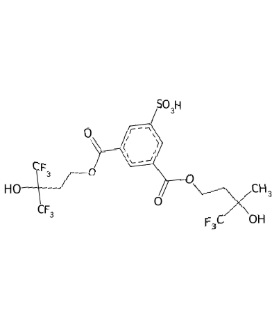 CC(O)(CCOC(=O)c1cc(C(=O)OCCC(O)(C(F)(F)F)C(F)(F)F)cc(S(=O)(=O)O)c1)C(F)(F)F